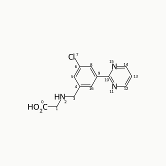 O=C(O)CNCc1cc(Cl)cc(-c2ncccn2)c1